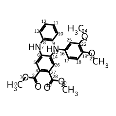 COC(=O)c1cc(Nc2ccccc2)c(Nc2ccc(OC)c(OC)c2)cc1C(=O)OC